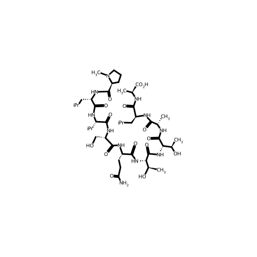 CC(C)C[C@H](NC(=O)[C@H](C)NC(=O)[C@@H](NC(=O)[C@@H](NC(=O)[C@H](CCC(N)=O)NC(=O)[C@H](CO)NC(=O)[C@@H](NC(=O)[C@H](CC(C)C)NC(=O)[C@@H]1CCCN1C)C(C)C)[C@@H](C)O)[C@@H](C)O)C(=O)N[C@@H](C)C(=O)O